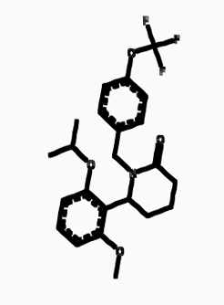 COc1cccc(OC(C)C)c1C1CCCC(=O)N1Cc1ccc(OC(F)(F)F)cc1